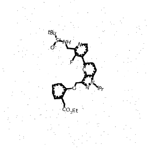 CCOC(=O)Cc1ccccc1OCc1nn(C(C)C)c2ccc(-c3ccnc(CN[S+]([O-])C(C)(C)C)c3F)cc12